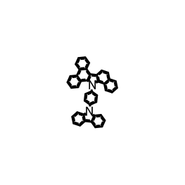 c1ccc2c(c1)ccc1c3c4ccccc4c4ccccc4c3n(-c3ccc(-n4c5ccccc5c5ccccc54)cc3)c21